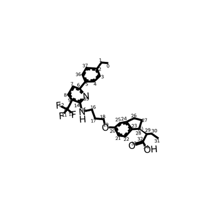 CCc1ccc(-c2ccc(C(F)(F)F)c(NCCCOc3ccc4c(c3)CC[C@H]4C(CC)C(=O)O)n2)cc1